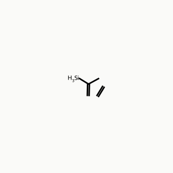 C=C.C=C(C)[SiH3]